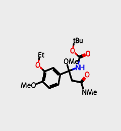 CCOc1cc(C(CC(=O)NC)(NC(=O)OC(C)(C)C)OC)ccc1OC